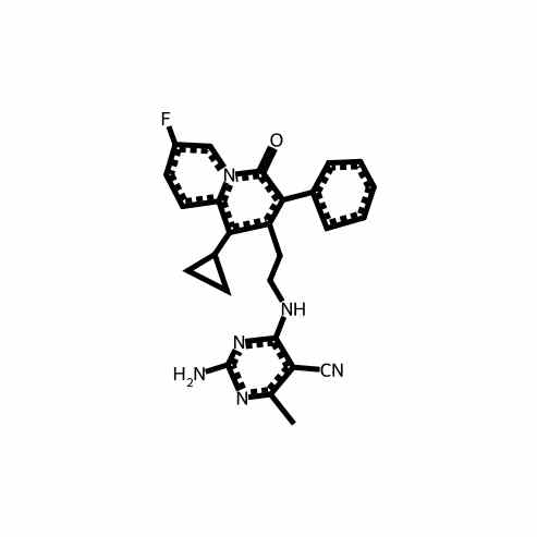 Cc1nc(N)nc(NCCc2c(-c3ccccc3)c(=O)n3cc(F)ccc3c2C2CC2)c1C#N